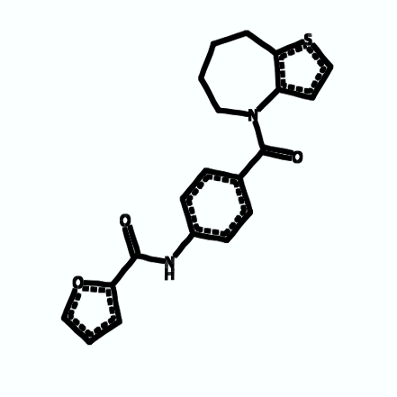 O=C(Nc1ccc(C(=O)N2CCCCc3sccc32)cc1)c1ccco1